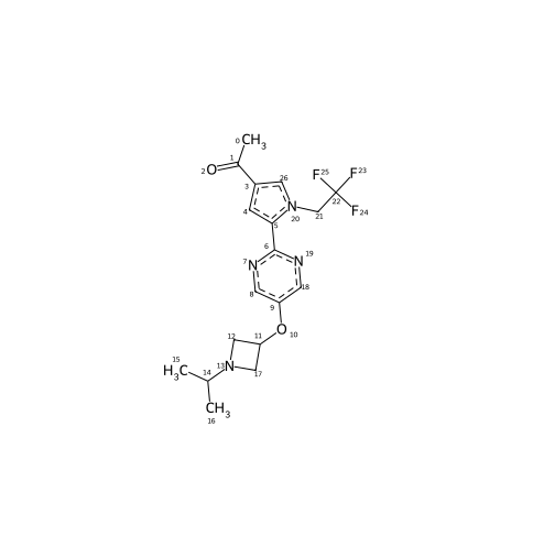 CC(=O)c1cc(-c2ncc(OC3CN(C(C)C)C3)cn2)n(CC(F)(F)F)c1